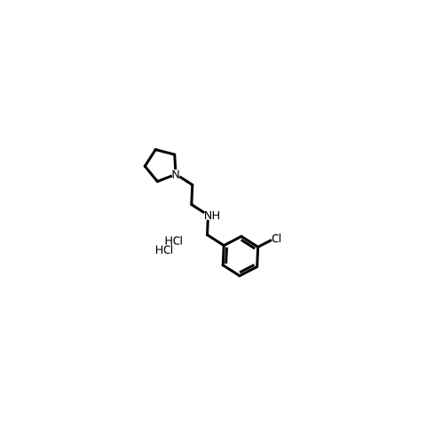 Cl.Cl.Clc1cccc(CNCCN2CCCC2)c1